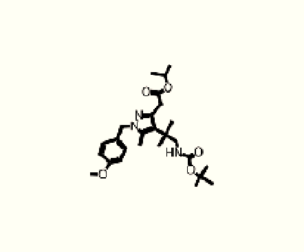 COc1ccc(Cn2nc(CC(=O)OC(C)C)c(C(C)(C)CNC(=O)OC(C)(C)C)c2C)cc1